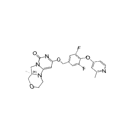 Cc1cc(Oc2c(F)cc(COc3cc4n(c(=O)n3)C[C@]3(C)COCCN43)cc2F)ccn1